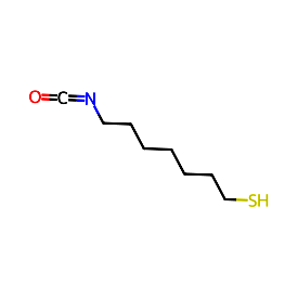 O=C=NCCCCCCCS